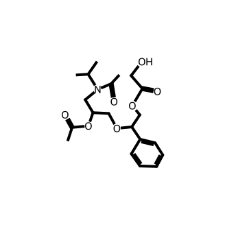 CC(=O)OC(COC(COC(=O)CO)c1ccccc1)CN(C(C)=O)C(C)C